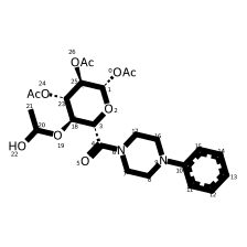 CC(=O)O[C@@H]1O[C@H](C(=O)N2CCN(c3ccccc3)CC2)[C@@H](OC(C)O)[C@H](OC(C)=O)[C@H]1OC(C)=O